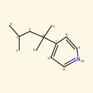 CC(C)CC(C)(C)c1ccncc1